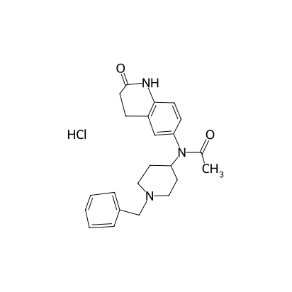 CC(=O)N(c1ccc2c(c1)CCC(=O)N2)C1CCN(Cc2ccccc2)CC1.Cl